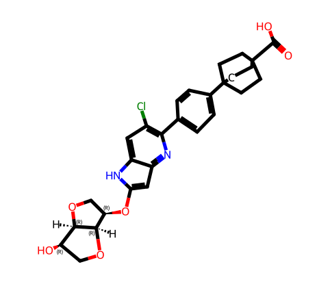 O=C(O)C12CCC(c3ccc(-c4nc5cc(O[C@@H]6CO[C@H]7[C@@H]6OC[C@H]7O)[nH]c5cc4Cl)cc3)(CC1)CC2